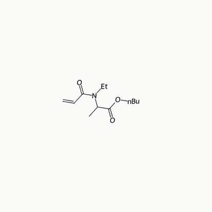 C=CC(=O)N(CC)C(C)C(=O)OCCCC